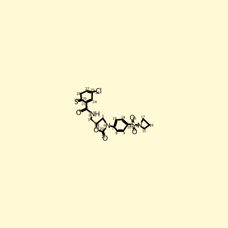 O=C(NC[C@H]1CN(c2ccc(S(=O)(=O)N3CCC3)cc2)C(=O)O1)C1=CC(Cl)=CCC1=S